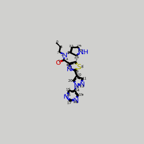 CCCN(C(=O)c1csc(-c2cnn(-c3cncnc3)c2)n1)[C@@H]1CCNC1